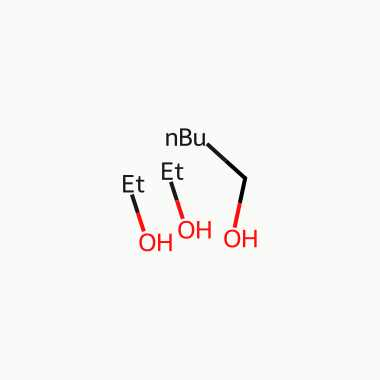 CCCCCO.CCO.CCO